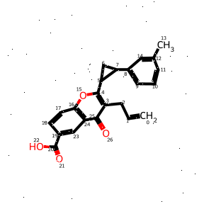 C=CCc1c(C2CC2c2cccc(C)c2)oc2ccc(C(=O)O)cc2c1=O